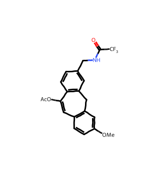 COc1ccc2c(c1)Cc1cc(CNC(=O)C(F)(F)F)ccc1C(OC(C)=O)=C2